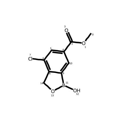 COC(=O)c1cc(Cl)c2c(c1)B(O)OC2